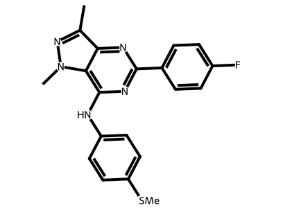 CSc1ccc(Nc2nc(-c3ccc(F)cc3)nc3c(C)nn(C)c23)cc1